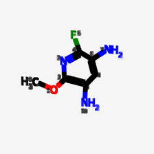 COc1nc(F)c(N)cc1N